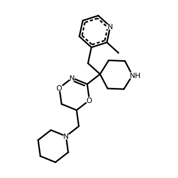 Cc1ncccc1CC1(C2=NOCC(CN3CCCCC3)O2)CCNCC1